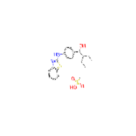 CCC(CC)C(O)c1ccc(Nc2nc3ccccc3s2)cc1.CS(=O)(=O)O